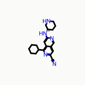 N#Cc1cc2cnc(N[C@H]3CCCNC3)cc2c(C2CCCCC2)n1